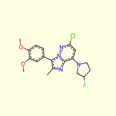 COc1ccc(-c2c(C)nc3c(N4CCC(F)C4)cc(Cl)nn23)cc1OC